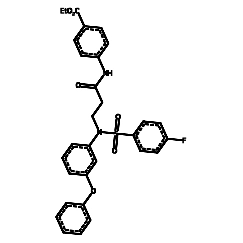 CCOC(=O)c1ccc(NC(=O)CCN(c2cccc(Oc3ccccc3)c2)S(=O)(=O)c2ccc(F)cc2)cc1